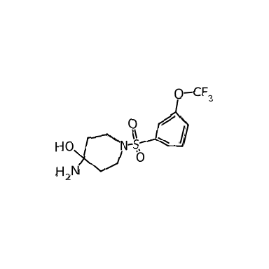 NC1(O)CCN(S(=O)(=O)c2cccc(OC(F)(F)F)c2)CC1